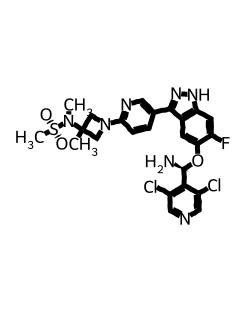 CN(C1(C)CN(c2ccc(-c3n[nH]c4cc(F)c(O[C@H](N)c5c(Cl)cncc5Cl)cc34)cn2)C1)S(C)(=O)=O